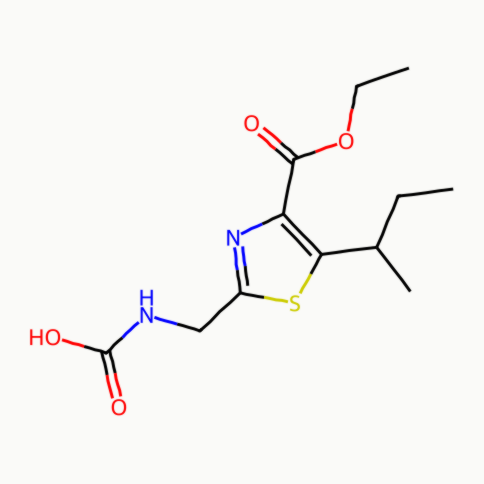 CCOC(=O)c1nc(CNC(=O)O)sc1C(C)CC